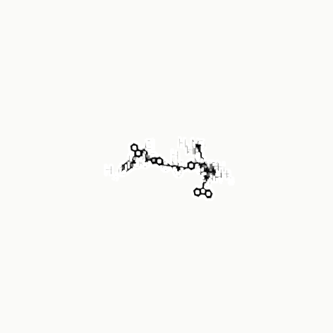 CC(C)[C@H](NC(=O)OCC1c2ccccc2-c2ccccc21)C(=O)N[C@@H](CCCNC(N)=O)C(=O)Nc1ccc(COC(=O)NCCOc2ccc3oc(C(=O)N4C[C@@H](CCl)c5c4cc(OC(=O)N4CCN(C)CC4)c4ccccc54)cc3c2)cc1